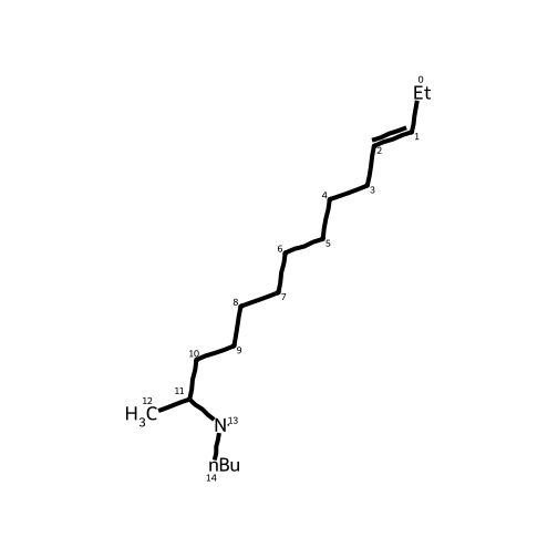 CC/C=C/CCCCCCCCC(C)[N]CCCC